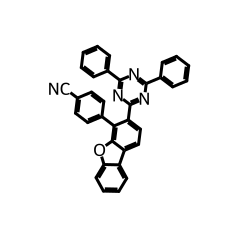 N#Cc1ccc(-c2c(-c3nc(-c4ccccc4)nc(-c4ccccc4)n3)ccc3c2oc2ccccc23)cc1